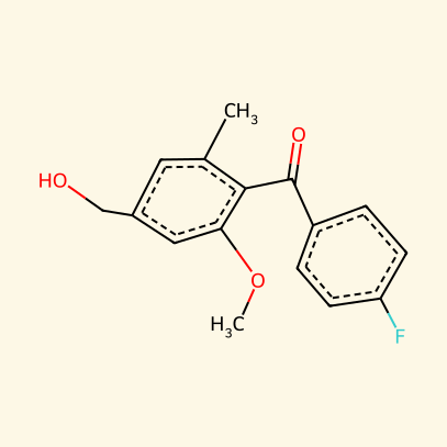 COc1cc(CO)cc(C)c1C(=O)c1ccc(F)cc1